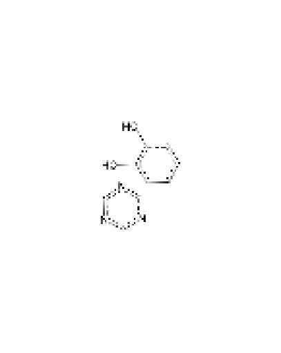 Oc1ccccc1O.c1ncncn1